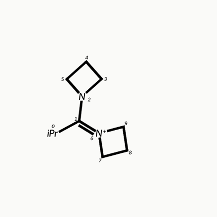 CC(C)C(N1CCC1)=[N+]1CCC1